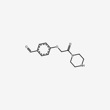 O=Cc1ccc(OCC(=O)N2CCNCC2)cc1